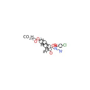 CC(C)C1=C2[C@H]3CC[C@@H]4[C@@]5(C)CC[C@H](OC(=O)CC(C)(C)C(=O)O)C6(C)C[C@]65CC[C@@]4(C)[C@]3(C)CCC2(C(O)CN(CCN(C)C)C(=O)c2ccc(Cl)cc2)CC1=O